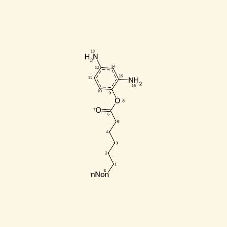 CCCCCCCCCCCCCCC(=O)Oc1ccc(N)cc1N